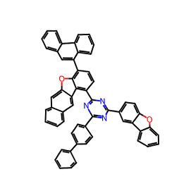 c1ccc(-c2ccc(-c3nc(-c4ccc5oc6ccccc6c5c4)nc(-c4ccc(-c5cc6ccccc6c6ccccc56)c5oc6cc7ccccc7cc6c45)n3)cc2)cc1